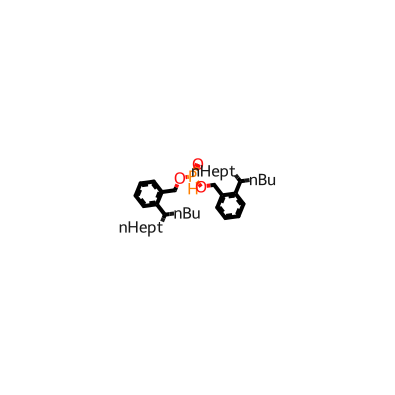 CCCCCCCC(CCCC)c1ccccc1CO[PH](=O)OCc1ccccc1C(CCCC)CCCCCCC